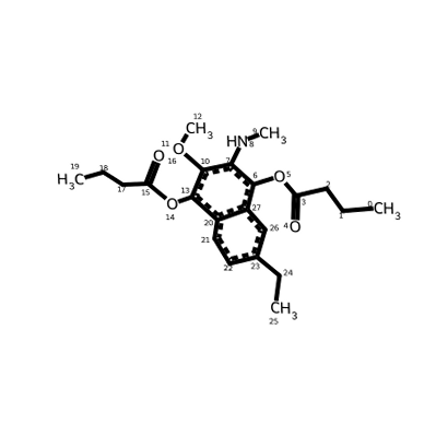 CCCC(=O)Oc1c(NC)c(OC)c(OC(=O)CCC)c2ccc(CC)cc12